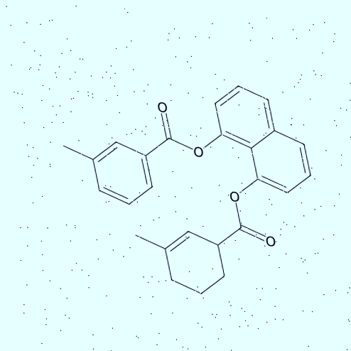 CC1=CC(C(=O)Oc2cccc3cccc(OC(=O)c4cccc(C)c4)c23)CCC1